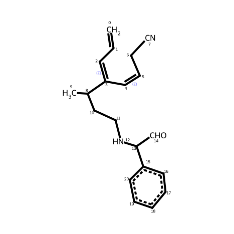 C=C/C=C(\C=C/CC#N)C(C)CCNC(C=O)c1ccccc1